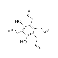 C=CCc1c(O)c(CC=C)c(CC=C)c(CC=C)c1O